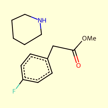 C1CCNCC1.COC(=O)Cc1ccc(F)cc1